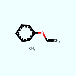 C.C=COc1ccccc1